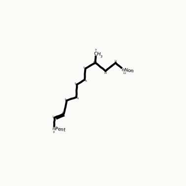 [CH2]CCCC/C=C/CCCCCC(C)CCCCCCCCCC[CH2]